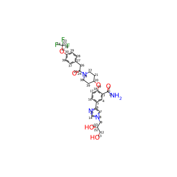 NC(=O)c1cc(-c2cn(C[C@H](O)CO)cn2)ccc1OC1CCN(C(=O)Cc2ccc(OC(F)(F)F)cc2)CC1